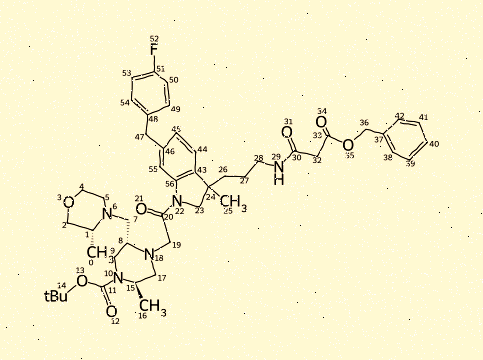 C[C@@H]1COCCN1C[C@H]1CN(C(=O)OC(C)(C)C)[C@H](C)CN1CC(=O)N1CC(C)(CCCNC(=O)CC(=O)OCc2ccccc2)c2ccc(Cc3ccc(F)cc3)cc21